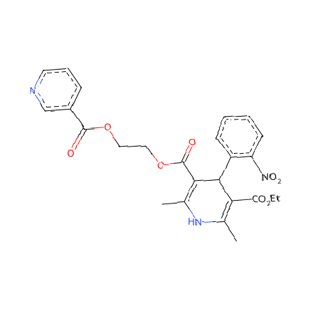 CCOC(=O)C1=C(C)NC(C)=C(C(=O)OCCOC(=O)c2cccnc2)C1c1ccccc1[N+](=O)[O-]